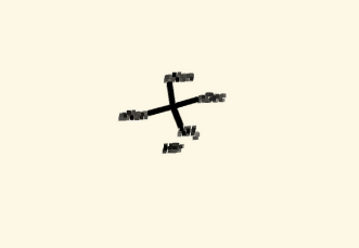 Br.CCCCCCCCCCC(N)(CCCCCCCCC)CCCCCCCCC